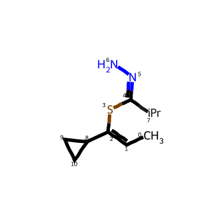 C/C=C(\S/C(=N\N)C(C)C)C1CC1